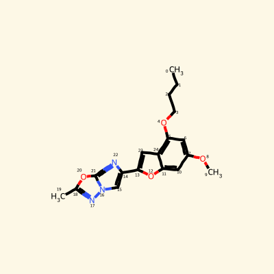 CCCCOc1cc(OC)cc2oc(-c3cn4nc(C)oc4n3)cc12